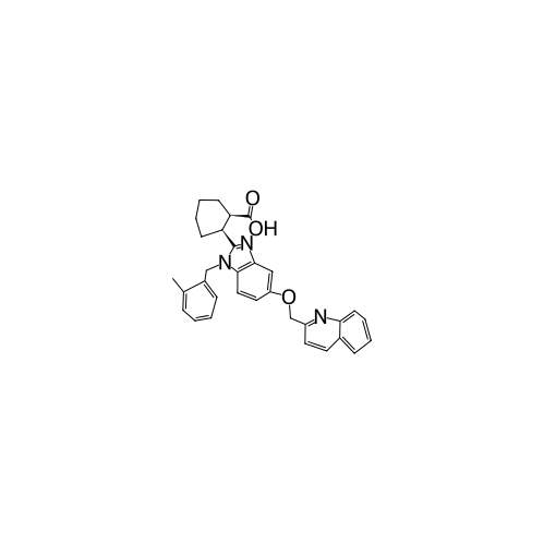 Cc1ccccc1Cn1c([C@H]2CCCC[C@H]2C(=O)O)nc2cc(OCc3ccc4ccccc4n3)ccc21